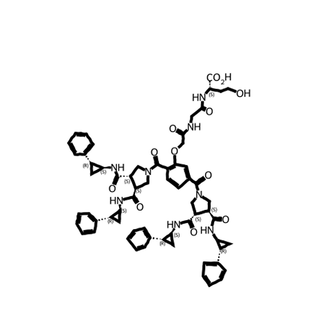 O=C(COc1cc(C(=O)N2C[C@@H](C(=O)NC3C[C@@H]3c3ccccc3)[C@H](C(=O)N[C@H]3C[C@@H]3c3ccccc3)C2)ccc1C(=O)N1C[C@@H](C(=O)N[C@H]2C[C@@H]2c2ccccc2)[C@H](C(=O)N[C@H]2C[C@@H]2c2ccccc2)C1)NCC(=O)N[C@@H](CCO)C(=O)O